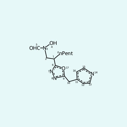 CCCCCC(CN(O)C=O)c1nnc(Cc2ccncc2)o1